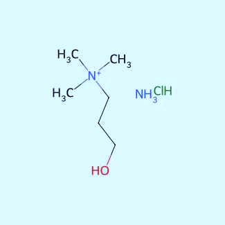 C[N+](C)(C)CCCO.Cl.N